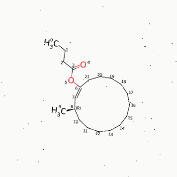 CCCC(=O)OC1=C[C@H](C)CCCCCCCCCCCC1